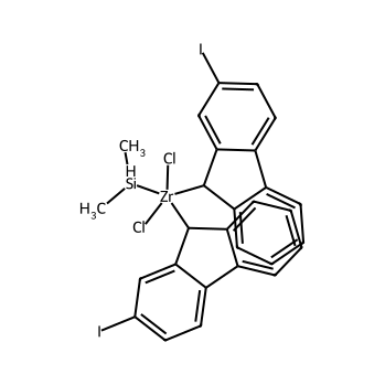 C[SiH](C)[Zr]([Cl])([Cl])([CH]1c2ccccc2-c2ccc(I)cc21)[CH]1c2ccccc2-c2ccc(I)cc21